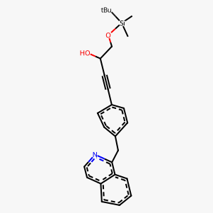 CC(C)(C)[Si](C)(C)OCC(O)C#Cc1ccc(Cc2nccc3ccccc23)cc1